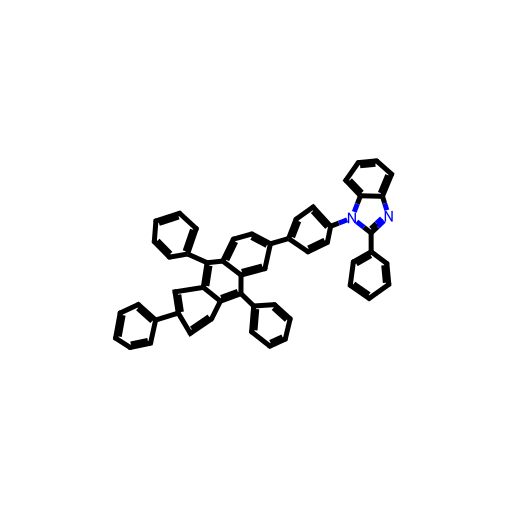 c1ccc(-c2ccc3c(-c4ccccc4)c4cc(-c5ccc(-n6c(-c7ccccc7)nc7ccccc76)cc5)ccc4c(-c4ccccc4)c3c2)cc1